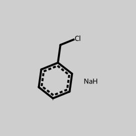 ClCc1cc[c]cc1.[NaH]